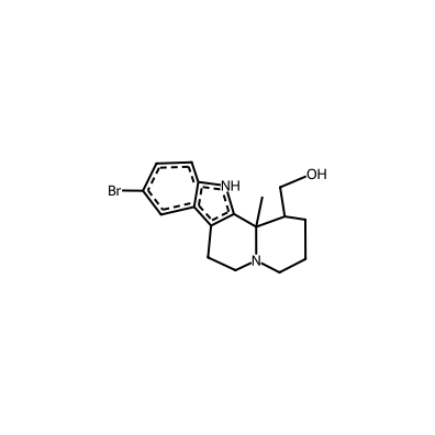 CC12c3[nH]c4ccc(Br)cc4c3CCN1CCCC2CO